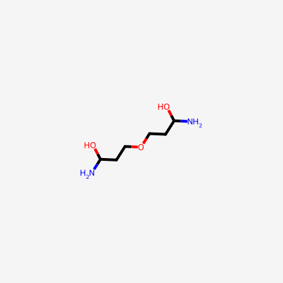 NC(O)CCOCCC(N)O